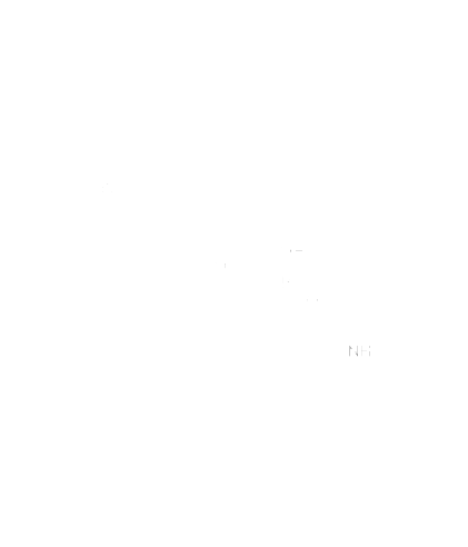 NCC1OB(O)c2c(OCCCCO)cccc21